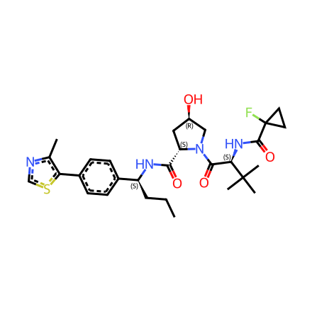 CCC[C@H](NC(=O)[C@@H]1C[C@@H](O)CN1C(=O)[C@@H](NC(=O)C1(F)CC1)C(C)(C)C)c1ccc(-c2scnc2C)cc1